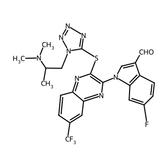 CC(Cn1nnnc1Sc1nc2ccc(C(F)(F)F)cc2nc1-n1cc(C=O)c2ccc(F)cc21)N(C)C